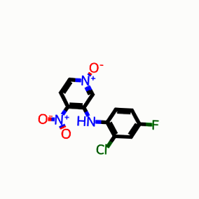 O=[N+]([O-])c1cc[n+]([O-])cc1Nc1ccc(F)cc1Cl